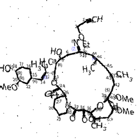 C#CCO/N=C1/C[C@H](O)[C@@H](C)[C@@H](/C(C)=C/[C@@H]2CC[C@@H](O)[C@H](OC)C2)OC(=O)[C@@H]2CCCCN2C(=O)C(=O)[C@]2(O)O[C@H]([C@@H](OC)C[C@@H](C)C/C(C)=C/[C@H]1CC)[C@@H](OC)C[C@H]2C